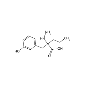 CCCC(Cc1cccc(O)c1)(NN)C(=O)O